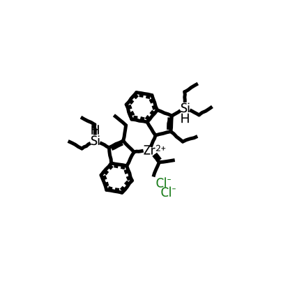 CCC1=C([SiH](CC)CC)c2ccccc2[CH]1[Zr+2](=[C](C)C)[CH]1C(CC)=C([SiH](CC)CC)c2ccccc21.[Cl-].[Cl-]